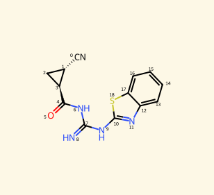 N#C[C@H]1C[C@@H]1C(=O)NC(=N)Nc1nc2ccccc2s1